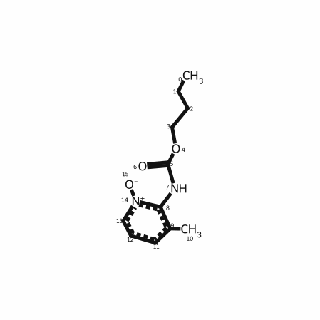 CCCCOC(=O)Nc1c(C)ccc[n+]1[O-]